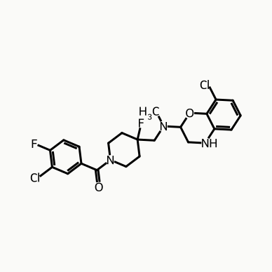 CN(CC1(F)CCN(C(=O)c2ccc(F)c(Cl)c2)CC1)C1CNc2cccc(Cl)c2O1